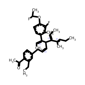 C/C=C(\C(C)=C\CC)C(/C=C\Cc1ccc(C(C)=O)c(CC)c1)/C(=C\C)c1ccc(OC(C)F)c(F)c1C